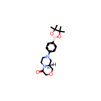 CC1(C)OB(c2ccc(N3CCN4C(=O)COC[C@H]4C3)cc2)OC1(C)C